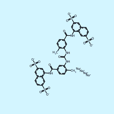 Cc1ccc(C(=O)Nc2cc(S(=O)(=O)[O-])cc3ccc(S(=O)(=O)[O-])cc23)cc1NC(=O)Nc1cc(C(=O)Nc2cc(S(=O)(=O)[O-])cc3ccc(S(=O)(=O)[O-])cc23)ccc1C.[Na+].[Na+].[Na+].[Na+]